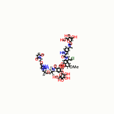 COc1ccc2c(OS(=O)(=O)Oc3cc(C(=O)N(C)CC(C)(C)COCC(C)(C)CN4C=C(COCCN5C(=O)C=CC5=O)NN4)ccc3O[C@@H]3O[C@H](CO)[C@H](O)C(O)C3O)cc3c(c2c1)C(CCl)CN3C(=O)c1cc2cc(/C(C)=N/OC3C[C@@H](O)[C@@H](O)C(CO)O3)ccc2[nH]1